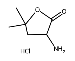 CC1(C)CC(N)C(=O)O1.Cl